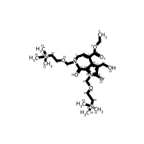 CCOC(=O)C1=CCN(COCC[Si](C)(C)C)C(=O)c2c1c(CO)c(Br)n2COCC[Si](C)(C)C